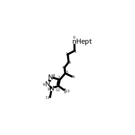 CCCCCCCCCCCC(C)c1nnn(C)c1I